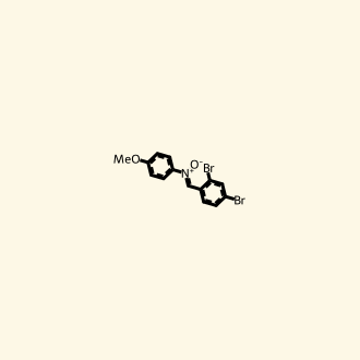 COc1ccc([N+]([O-])=Cc2ccc(Br)cc2Br)cc1